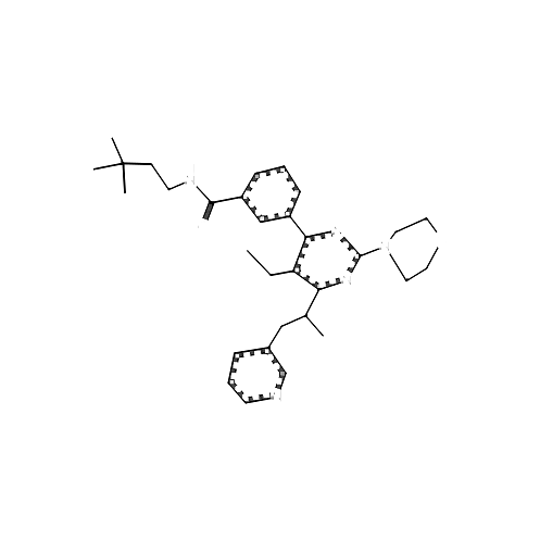 CCc1c(-c2cccc(C(=O)NCCC(C)(C)C)c2)nc(N2CCOCC2)nc1C(C)Cc1cccnc1